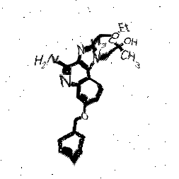 CCOCc1nc2c(N)nc3cc(OCc4ccccc4)ccc3c2n1CC(C)(C)O